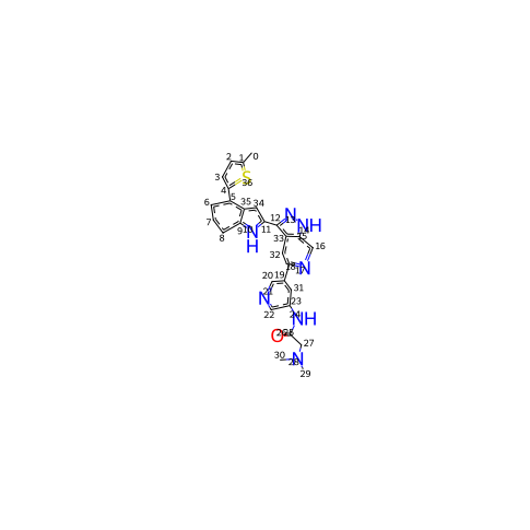 Cc1ccc(-c2cccc3[nH]c(-c4n[nH]c5cnc(-c6cncc(NC(=O)CN(C)C)c6)cc45)cc23)s1